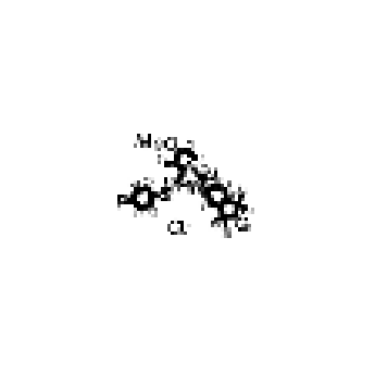 COc1cc[n+](-c2nc3cc4c(cc3[nH]2)C(C)(C)C(=O)C4(C)C)c(CSSc2ccc(F)cc2)c1C.[Cl-]